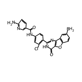 Bc1ccc2oc3c(=O)[nH]c(-c4ccc(NC(=O)c5ccc(N)nc5)cc4Cl)nc3c2c1